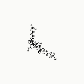 CCCCC(CCCC)([S][Sn][S]CC(=O)OCCCCCC(C)C)C(=O)OCCCCCC(C)C